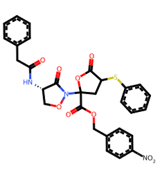 O=C(Cc1ccccc1)N[C@H]1CON(C2(C(=O)OCc3ccc([N+](=O)[O-])cc3)CC(Sc3ccccc3)C(=O)O2)C1=O